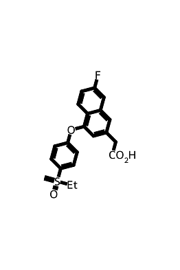 C=S(=O)(CC)c1ccc(Oc2cc(CC(=O)O)cc3cc(F)ccc23)cc1